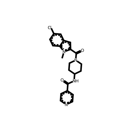 Cn1c(C(=O)N2CCC(NC(=O)c3ccncc3)CC2)cc2cc(Cl)ccc21